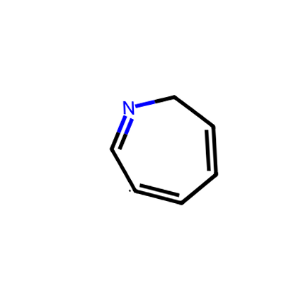 [C]1=CC=CCN=C1